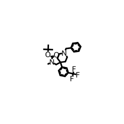 CN(CC1(c2cccc(C(F)(F)F)c2)CCN(Cc2ccccc2)CC1)C(=O)OC(C)(C)C